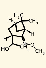 CO/N=C1/[C@H](C(C)O)C[C@@H]2C[C@@H]1C2(C)C